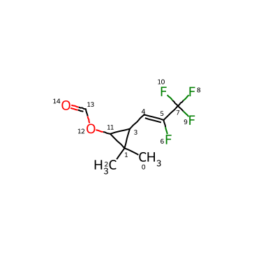 CC1(C)C(C=C(F)C(F)(F)F)C1OC=O